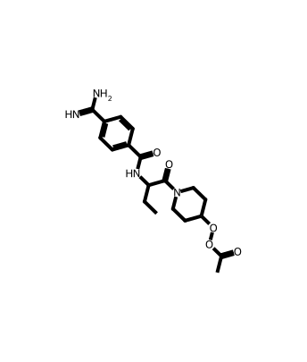 CCC(NC(=O)c1ccc(C(=N)N)cc1)C(=O)N1CCC(OOC(C)=O)CC1